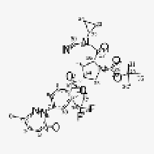 Cc1ccc(=O)n(-c2ccc(S(=O)(=O)[C@@H]3C[C@@H](C(=O)N(C#N)C4CC4)N(C(=O)OC(C)(C)C)C3)c(C(F)(F)F)c2)n1